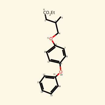 CCOC(=O)CC(C)COc1ccc(Oc2ccccc2)cc1